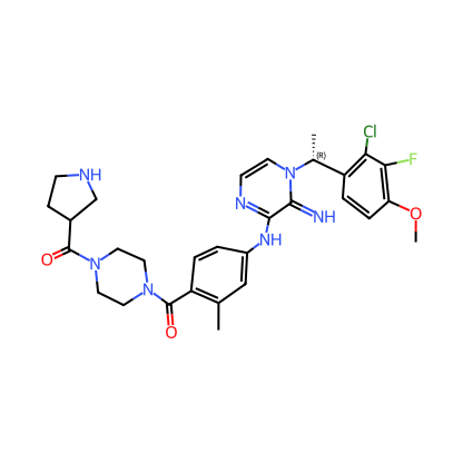 COc1ccc([C@@H](C)n2ccnc(Nc3ccc(C(=O)N4CCN(C(=O)C5CCNC5)CC4)c(C)c3)c2=N)c(Cl)c1F